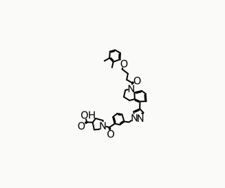 Cc1cccc(OCCCC(=O)N2CCCc3c(-c4cnn(Cc5cccc(C(=O)N6CCC(C(=O)O)CC6)c5)c4)cccc32)c1C